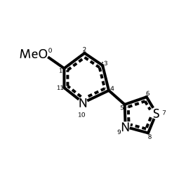 COc1c[c]c(-c2cscn2)nc1